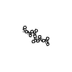 c1ccc(-n2c3ccccc3c3cc(-n4c5ccccc5c5c4ccc4c6ccccc6n(-c6ccc(-n7c8ccccc8c8ccc9c(c%10ccccc%10n9-c9ccc%10sc%11ccccc%11c%10c9)c87)cc6)c45)ccc32)cc1